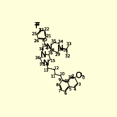 COc1ccc2cccc(CCCCN3CCN(C[C@H](c4ccc(F)cc4)N4CCN(C(C)C)CC4)CC3)c2c1